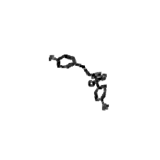 O=S(=O)(NCCc1ccc(F)cc1)c1ccc(Br)cc1